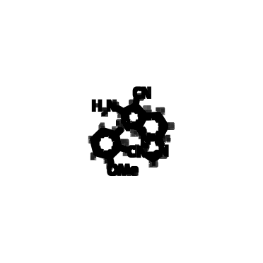 COc1cccc(-n2c(N)c(C#N)c3ccc4ncnn4c32)c1Cl